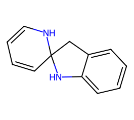 C1=CNC2(C=C1)Cc1ccccc1N2